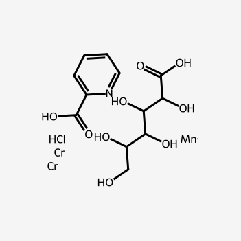 Cl.O=C(O)C(O)C(O)C(O)C(O)CO.O=C(O)c1ccccn1.[Cr].[Cr].[Mn]